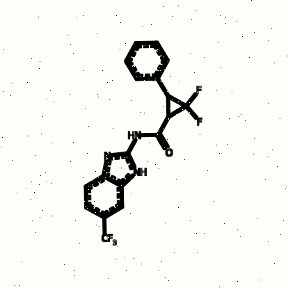 O=C(Nc1nc2ccc(C(F)(F)F)cc2[nH]1)C1C(c2ccccc2)C1(F)F